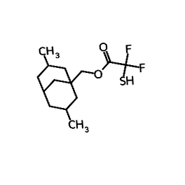 CC1CC2CC(C)CC(COC(=O)C(F)(F)S)(C1)C2